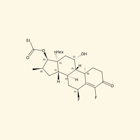 CCCCCC[C@]12C[C@H](O)[C@H]3[C@@H](C[C@H](F)C4=C(F)C(=O)CC[C@@]43C)[C@@H]1C[C@@H](C)[C@H]2OC(=O)CC